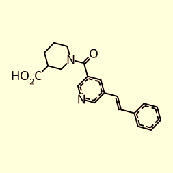 O=C(O)C1CCCN(C(=O)c2cncc(C=Cc3ccccc3)c2)C1